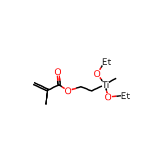 C=C(C)C(=O)OC[CH2][Ti]([CH3])([O]CC)[O]CC